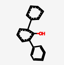 Oc1c(C2=CC=C=C=C2)cccc1-c1ccccc1